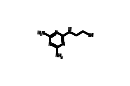 Nc1nc(N)nc(NCCS)n1